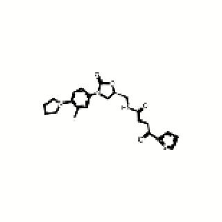 O=C(CCC(=O)c1cccs1)NC[C@H]1CN(c2ccc(N3CCCC3)c(F)c2)C(=O)O1